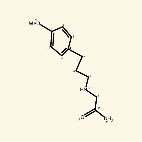 COc1ccc(CCCNCC(N)=O)cc1